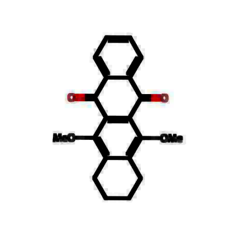 COc1c2c(c(OC)c3c1C(=O)c1ccccc1C3=O)CCCC2